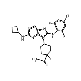 CC1(C(N)=O)CCC(n2c(Nc3c(F)cc(Cl)cc3F)nc3cnc(NC4CCC4)nc32)CC1